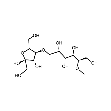 CO[C@H](CO)[C@H](O)[C@H](O)[C@@H](O)CO[C@@H]1[C@@H](CO)O[C@@](O)(CO)[C@H]1O